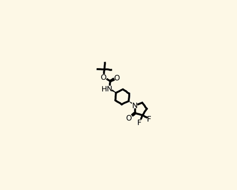 CC(C)(C)OC(=O)N[C@H]1CC[C@H](N2CCC(F)(F)C2=O)CC1